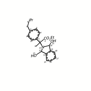 CCOC(=O)C(C)(c1ccc(CC(C)C)cc1)N1C(O)c2ccccc2C1O